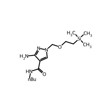 CCCCNC(=O)c1cn(COCC[Si](C)(C)C)nc1N